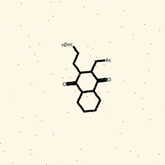 CCCCCCCCCCCCC1C(=O)C2CCCCC2C(=O)C1CC(C)=O